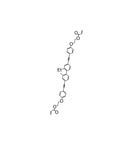 C=CC(=O)OCCOc1ccc(C#Cc2ccc(-c3ccc(C#Cc4ccc(OCCOC(=O)C=C)cc4)cc3CC)c(C)c2)cc1